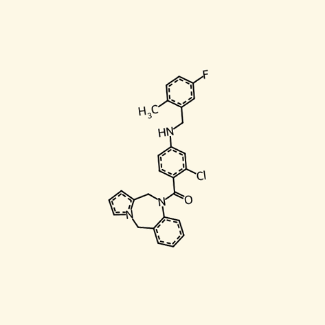 Cc1ccc(F)cc1CNc1ccc(C(=O)N2Cc3cccn3Cc3ccccc32)c(Cl)c1